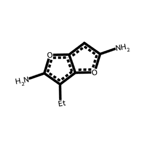 CCc1c(N)oc2cc(N)oc12